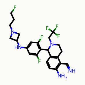 N=Cc1c(N)ccc2c1CCN(CC(F)(F)F)C2c1c(F)cc(NC2CN(CCCF)C2)cc1F